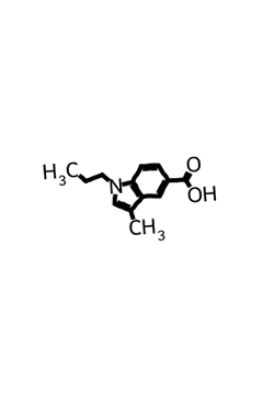 CCCn1cc(C)c2cc(C(=O)O)ccc21